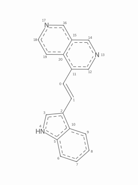 C(=C\c1c[nH]c2ccccc12)/c1cncc2cnccc12